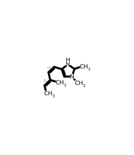 C/C=C(C)/C=C\C1=CN(C)C(C)N1